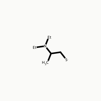 CCN(CC)C(C)C[S]